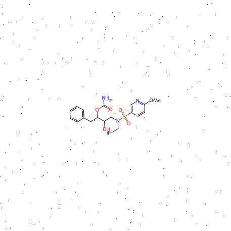 COc1ccc(S(=O)(=O)N(CC(C)C)CC(O)C(Cc2ccccc2)OC(N)=O)cn1